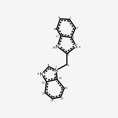 c1ccc2sc(Cn3cnc4ccccc43)nc2c1